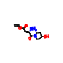 CC(C)(C)OC(=O)C[C@H](N)C(=O)N1CCC(O)CC1